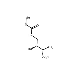 C[C@H](C(=O)O)[C@@H](O)CNC(=O)OC(C)(C)C